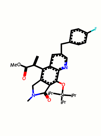 C=C(C(=O)OC)c1c2c(c(O[Si](C(C)C)(C(C)C)C(C)C)c3ncc(Cc4ccc(F)cc4)cc13)C(=O)N(C)C2